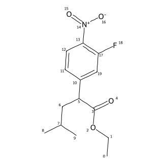 CCOC(=O)C(CC(C)C)c1ccc([N+](=O)[O-])c(F)c1